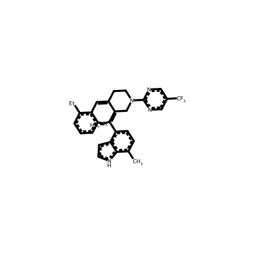 CCc1cccc(CC)c1/C=C1/CCN(c2ncc(C(F)(F)F)cn2)C/C1=C(/C)c1ccc(C)c2[nH]ccc12